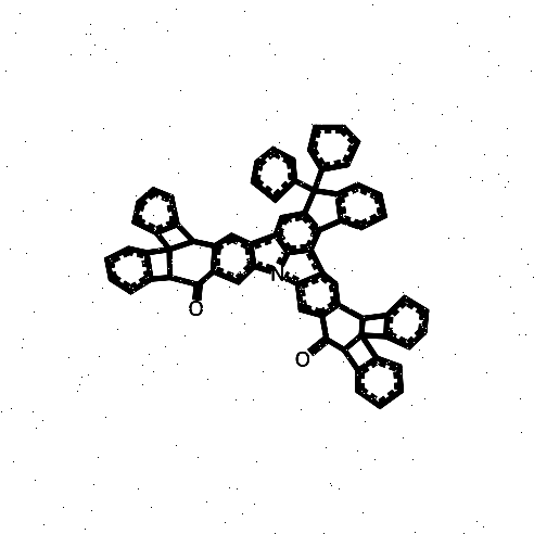 O=C1c2cc3c(cc2C2c4ccccc4C24c2ccccc2C14)c1cc2c(c4c5cc6c(cc5n3c14)C(=O)C1c3ccccc3C13c1ccccc1C63)-c1ccccc1C2(c1ccccc1)c1ccccc1